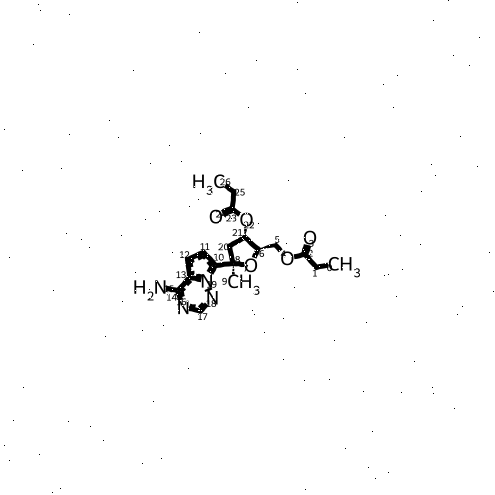 CCC(=O)OC[C@H]1O[C@@](C)(c2ccc3c(N)ncnn23)C[C@@H]1OC(=O)CC